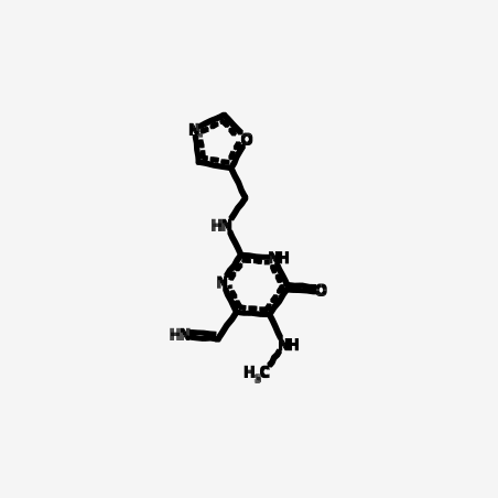 CNc1c(C=N)nc(NCc2cnco2)[nH]c1=O